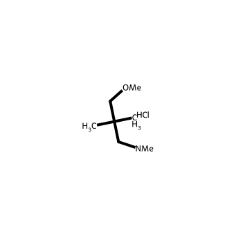 CNCC(C)(C)COC.Cl